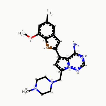 COc1cc(C)cc2cc(-c3cc(CN4CCN(C)CC4)n4ncnc(N)c34)sc12